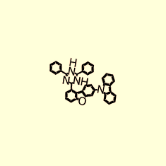 c1ccc(C2=NC(c3cccc4oc5cc(-n6c7ccccc7c7ccccc76)ccc5c34)NC(c3ccccc3)N2)cc1